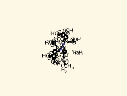 C=C(C)C(=O)NCCc1ccc(OC(=C\C=C2/N(CCCS(=O)(=O)O)c3ccc4c(S(=O)(=O)O)cc(S(=O)(=O)O)cc4c3C2(C)C)/C=C/C2N(CCCS(=O)(=O)O)c3ccc4c(S(=O)(=O)O)cc(S(=O)(=O)O)cc4c3C2(C)C)cc1.[NaH]